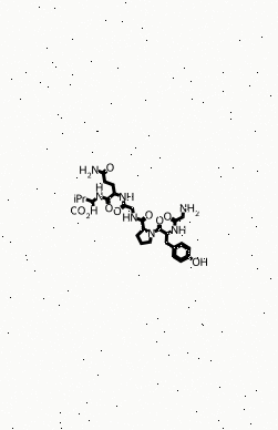 CC(C)C(NC(=O)C(CCC(N)=O)NC(=O)CNC(=O)C1CCCN1C(=O)C(Cc1ccc(O)cc1)NC(=O)CN)C(=O)O